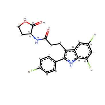 O=C(CCc1c(-c2ccc(F)cc2)[nH]c2c(F)cc(F)cc12)N[C@H]1CCOC1=O